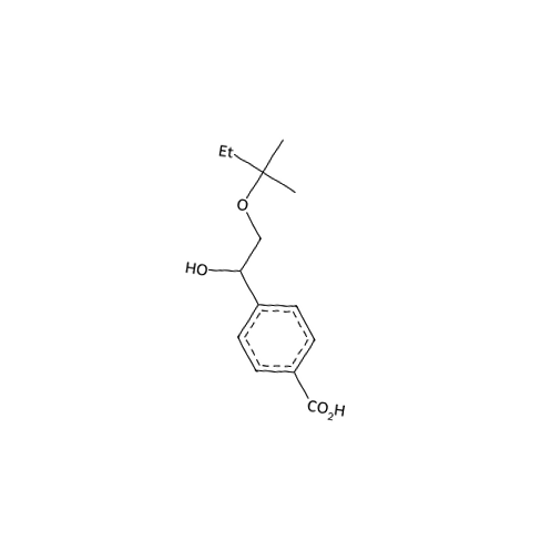 CCC(C)(C)OCC(O)c1ccc(C(=O)O)cc1